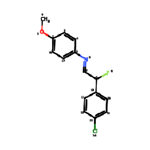 COc1ccc(N=CC(F)c2ccc(Cl)cc2)cc1